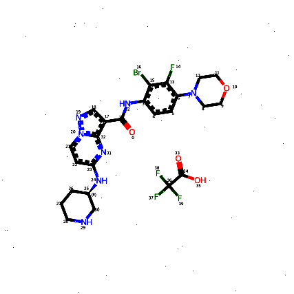 O=C(Nc1ccc(N2CCOCC2)c(F)c1Br)c1cnn2ccc(N[C@@H]3CCCNC3)nc12.O=C(O)C(F)(F)F